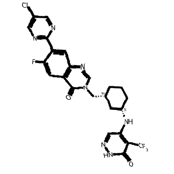 O=c1[nH]ncc(N[C@H]2CCC[C@@H](Cn3cnc4cc(-c5ncc(Cl)cn5)c(F)cc4c3=O)C2)c1C(F)(F)F